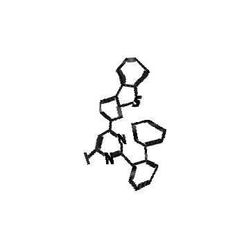 Ic1cc(-c2ccc3c(c2)sc2ccccc23)nc(-c2ccccc2-c2ccccc2)n1